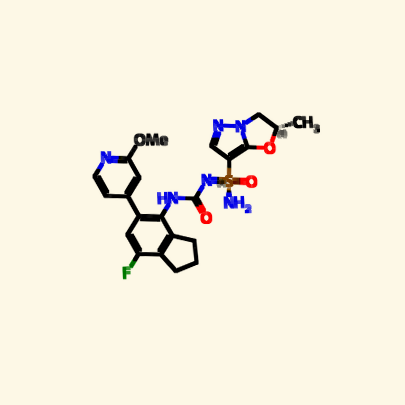 COc1cc(-c2cc(F)c3c(c2NC(=O)N=[S@@](N)(=O)c2cnn4c2O[C@@H](C)C4)CCC3)ccn1